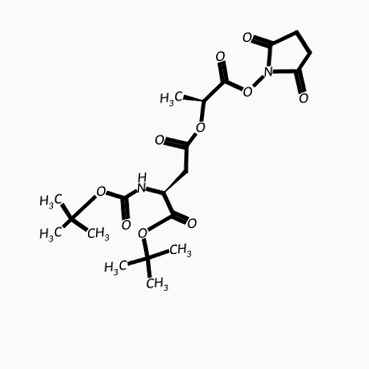 C[C@H](OC(=O)C[C@H](NC(=O)OC(C)(C)C)C(=O)OC(C)(C)C)C(=O)ON1C(=O)CCC1=O